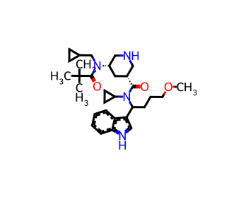 COCCCC(c1c[nH]c2ccccc12)N(C(=O)[C@H]1CNC[C@@H](N(CC2CC2)C(=O)C(C)(C)C)C1)C1CC1